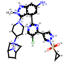 CN1C2CCC1CN(C1CCN(c3c4c(-c5ncc(Cl)c(-c6cnn(S(=O)(=O)C7CC7)c6)n5)cc(N)cc4nn3C)CC1)C2